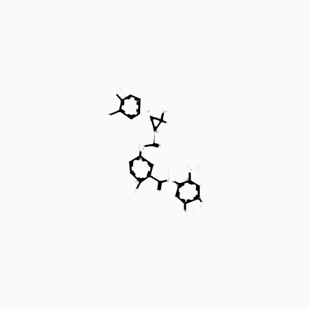 Cc1cc(NC(=O)c2cc(NC(=O)[C@H]3[C@H](c4ccc(F)c(Cl)c4)C3(Cl)Cl)ccc2Cl)c(N)cc1F